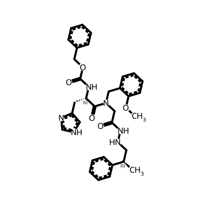 COc1ccccc1CN(CC(=O)NNC[C@@H](C)c1ccccc1)C(=O)[C@H](Cc1c[nH]cn1)NC(=O)OCc1ccccc1